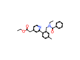 CCOC(=O)Cc1ccnc(-c2ccc(C)cc2CN(CC)C(=O)c2ccccc2)c1